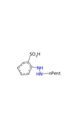 CCCCCNNc1ccccc1S(=O)(=O)O